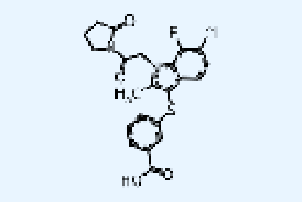 Cc1c(Sc2cccc(C(=O)O)c2)c2ccc(Cl)c(F)c2n1CC(=O)N1CCCC1=O